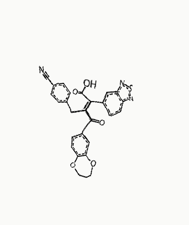 N#Cc1ccc(CC(C(=O)c2ccc3c(c2)OCCO3)=C(C(=O)O)c2ccc3nsnc3c2)cc1